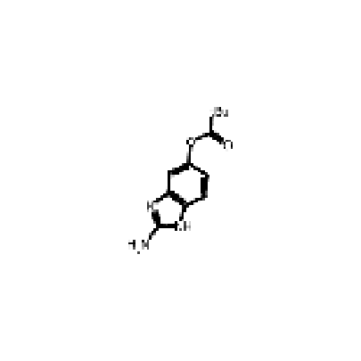 CC(C)(C)C(=O)Oc1ccc2[nH]c(N)nc2c1